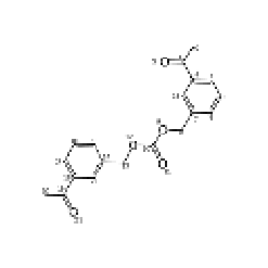 CC(=O)c1cccc(COC(=O)OCc2cccc(C(C)=O)c2)c1